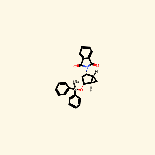 CC(C)(C)[Si](O[C@@H]1C[C@H](N2C(=O)c3ccccc3C2=O)[C@@H]2C[C@@H]21)(c1ccccc1)c1ccccc1